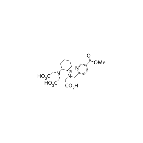 COC(=O)c1ccc(CN(CC(=O)O)[C@H]2CCCCC2N(CC(=O)O)CC(=O)O)nc1